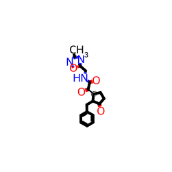 Cc1noc(CNC(=O)C(=O)[C@H]2CCC(=O)C2Cc2ccccc2)n1